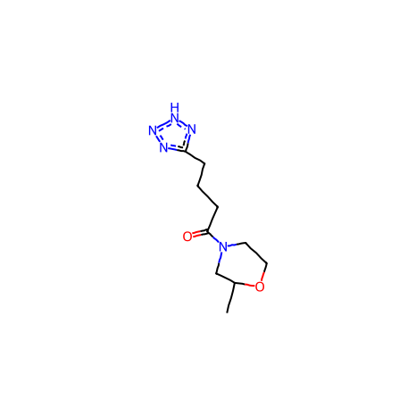 CC1CN(C(=O)CCCc2nn[nH]n2)CCO1